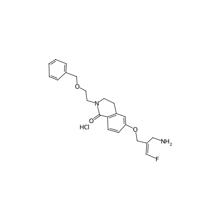 Cl.NC/C(=C\F)COc1ccc2c(c1)CCN(CCOCc1ccccc1)C2=O